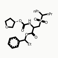 CCCC(CCC)S(=O)(=O)CC(NC(=O)O[C@H]1CCOC1)C(=O)OC(CC)c1ccccc1